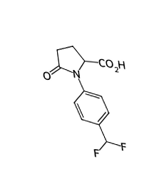 O=C(O)C1CCC(=O)N1c1ccc(C(F)F)cc1